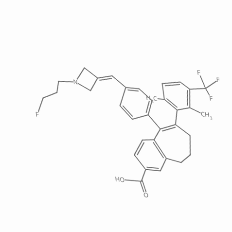 Cc1ccc(C(F)(F)F)c(C)c1C1=C(c2ccc(C=C3CN(CCCF)C3)cc2)c2ccc(C(=O)O)cc2CCC1